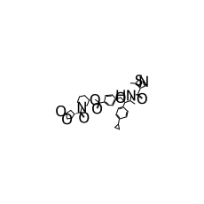 Cc1sncc1C(=O)NC(C)C(Oc1ccc(C(=O)O[C@H]2CCCN(C(=O)[C@H]3COC(=O)C3)C2)cc1)c1ccc(C2CC2)cc1